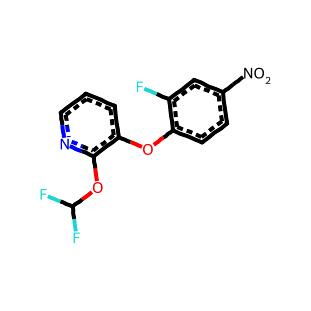 O=[N+]([O-])c1ccc(Oc2cccnc2OC(F)F)c(F)c1